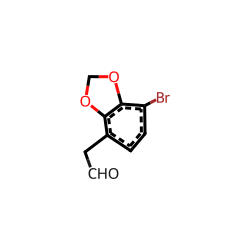 O=CCc1ccc(Br)c2c1OCO2